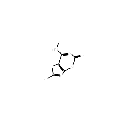 Cc1nc2[nH]c(=O)nc(NN)c2[nH]1